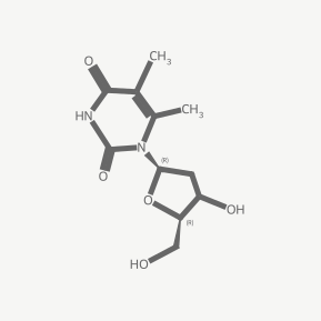 Cc1c(C)n([C@H]2CC(O)[C@@H](CO)O2)c(=O)[nH]c1=O